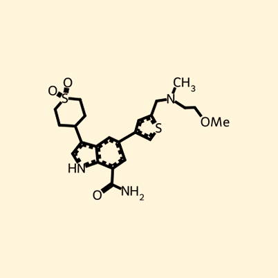 COCCN(C)Cc1cc(-c2cc(C(N)=O)c3[nH]cc(C4CCS(=O)(=O)CC4)c3c2)cs1